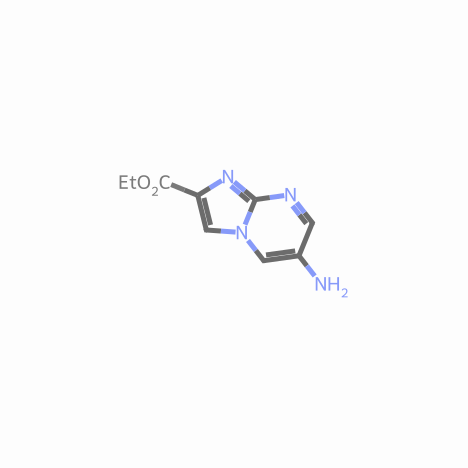 CCOC(=O)c1cn2cc(N)cnc2n1